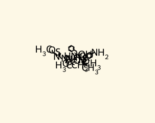 COCc1nc(CN2CCN([C@H](C(=O)N[C@@H](Cc3ccccc3)[C@H](O)CN(CC(C)C)S(=O)(=O)c3ccc(N)cc3)C(C)C)C2=O)cs1